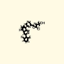 CC(C)(O)c1nc(-c2cncc([C@@]34CC[C@@H](c5cc(-c6c(F)cccc6F)nnc53)C4(C)C)n2)oc1Cl